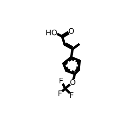 CC(=CC(=O)O)c1ccc(OC(F)(F)F)cc1